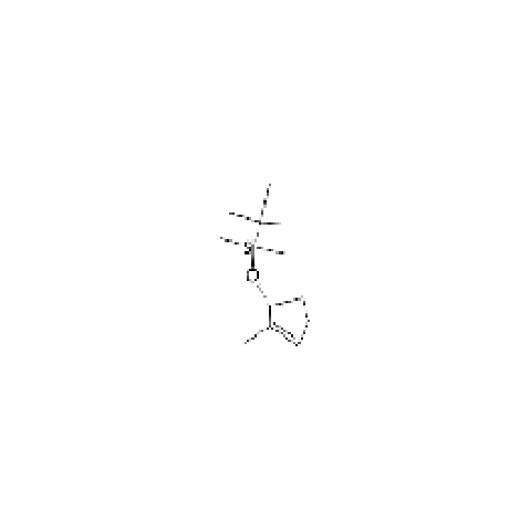 CC1=CCC[C@H]1O[Si](C)(C)C(C)(C)C